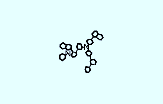 c1ccc(-c2cccc(-c3ccc(N(c4ccc(-c5cccc6ccccc56)cc4)c4cccc(-c5cccc6c5c5ccc7ccccc7c5n6-c5ccccc5)c4)cc3)c2)cc1